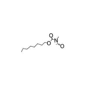 CCCCCCCCOC(=O)N(C)[C]=O